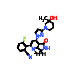 [2H]C1([2H])NC(=O)c2c(-n3ccc(N4CCC[C@@](C)(O)C4)n3)cc(-c3c(F)cccc3C#N)nc21